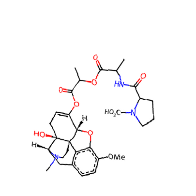 COc1ccc2c3c1O[C@H]1C(OC(=O)C(C)OC(=O)C(C)NC(=O)C4CCCN4C(=O)O)=CC[C@@]4(O)[C@@H](C2)N(C)CC[C@]314